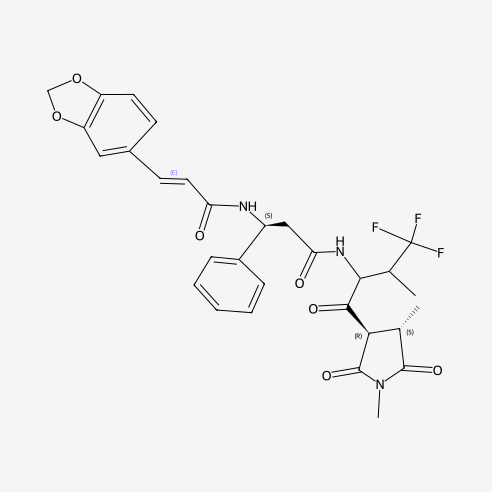 CC(C(NC(=O)C[C@H](NC(=O)/C=C/c1ccc2c(c1)OCO2)c1ccccc1)C(=O)[C@@H]1C(=O)N(C)C(=O)[C@H]1C)C(F)(F)F